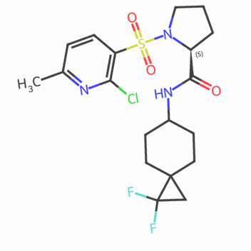 Cc1ccc(S(=O)(=O)N2CCC[C@H]2C(=O)NC2CCC3(CC2)CC3(F)F)c(Cl)n1